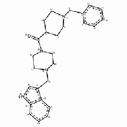 O=C(C1CCN(Cc2ccncc2)CC1)N1CCN(Cc2c[nH]c3ccccc23)CC1